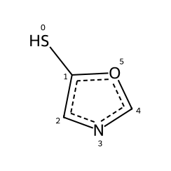 Sc1cnco1